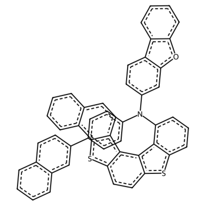 c1ccc2cc(-c3ccc(N(c4ccc5c(c4)oc4ccccc45)c4cccc5sc6ccc7sc8c9ccccc9ccc8c7c6c45)cc3)ccc2c1